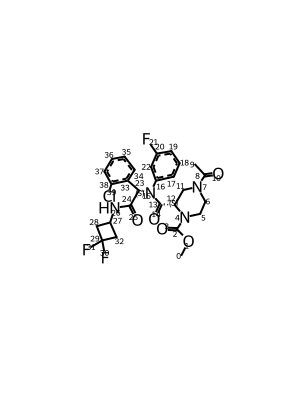 COC(=O)N1CCN(C(C)=O)C[C@H]1C(=O)N(c1cccc(F)c1)[C@H](C(=O)NC1CC(F)(F)C1)c1ccccc1Cl